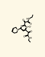 CCNC(=O)C(=O)c1cc(N2CC=CCC2)nc(C(=O)C(=O)NCC)[n+]1[O-]